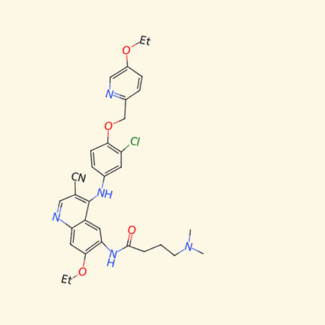 CCOc1ccc(COc2ccc(Nc3c(C#N)cnc4cc(OCC)c(NC(=O)CCCN(C)C)cc34)cc2Cl)nc1